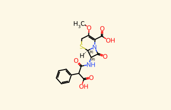 COC1=C(C(=O)O)N2C(=O)[C@@H](NC(=O)C(C(=O)O)c3ccccc3)[C@H]2SC1